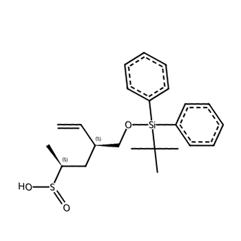 C=C[C@@H](CO[Si](c1ccccc1)(c1ccccc1)C(C)(C)C)C[C@H](C)S(=O)O